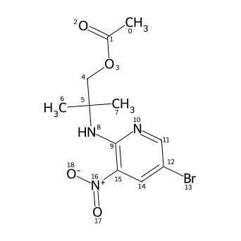 CC(=O)OCC(C)(C)Nc1ncc(Br)cc1[N+](=O)[O-]